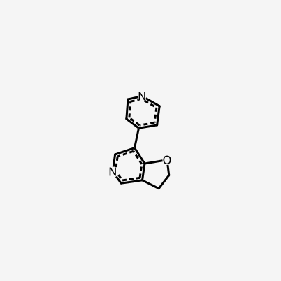 c1cc(-c2cncc3c2OCC3)ccn1